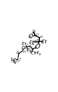 CCC(CC)(CC(C)OC(CC)(CC)CC1CO1)OCCCO